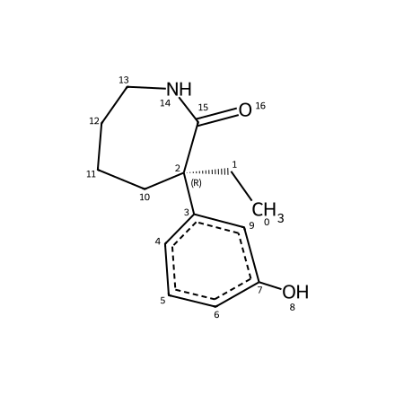 CC[C@]1(c2cccc(O)c2)CCCCNC1=O